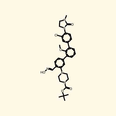 COc1c(-c2ccc(N3CCN(C)C3=O)c(Cl)c2)cccc1-c1ccc(C=NO)c(N2CCN(C(=O)OC(C)(C)C)CC2)c1